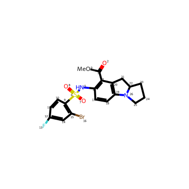 COC(=O)c1c(NS(=O)(=O)c2ccc(F)cc2Br)ccc2c1CC1CCCN21